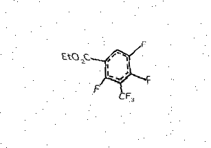 CCOC(=O)c1cc(F)c(F)c(C(F)(F)F)c1F